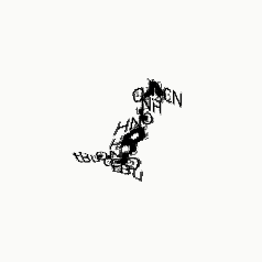 CC(C)(C)OC(=O)N[C@@H](Cc1ccc(NC(=O)CNC(=O)c2ccc(C#N)s2)cc1)C(=O)OC(C)(C)C